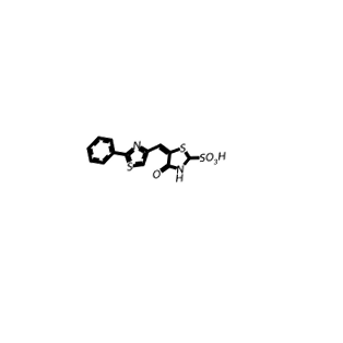 O=C1NC(S(=O)(=O)O)SC1=Cc1csc(-c2ccccc2)n1